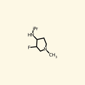 CC(C)NC1CCN(C)CC1F